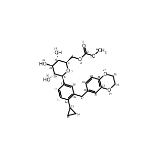 COC(=O)OC[C@H]1O[C@@H](c2ccc(C3CC3)c(Cc3ccc4c(c3)OCCO4)c2)[C@H](O)[C@@H](O)[C@@H]1O